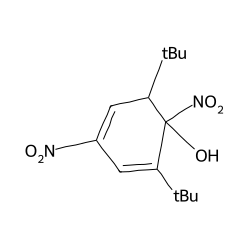 CC(C)(C)C1=CC([N+](=O)[O-])=CC(C(C)(C)C)C1(O)[N+](=O)[O-]